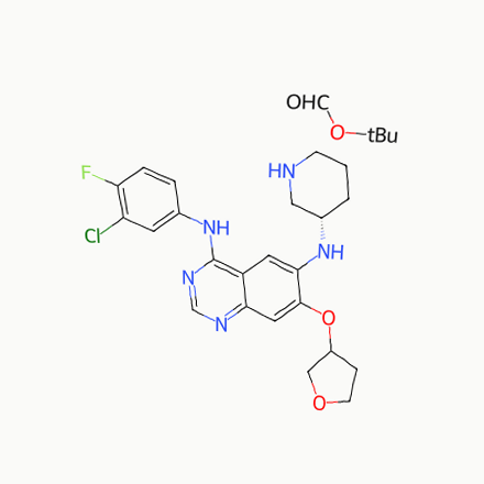 CC(C)(C)OC=O.Fc1ccc(Nc2ncnc3cc(OC4CCOC4)c(N[C@H]4CCCNC4)cc23)cc1Cl